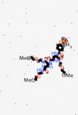 COCCOCCNC(=O)CCC(NC(=O)CCC(NC(=O)[C@H]1CC[C@@H](OP(C)(=O)C(C)C)CC1)C(=O)NCCOCCOC)C(=O)NCCOCCOC